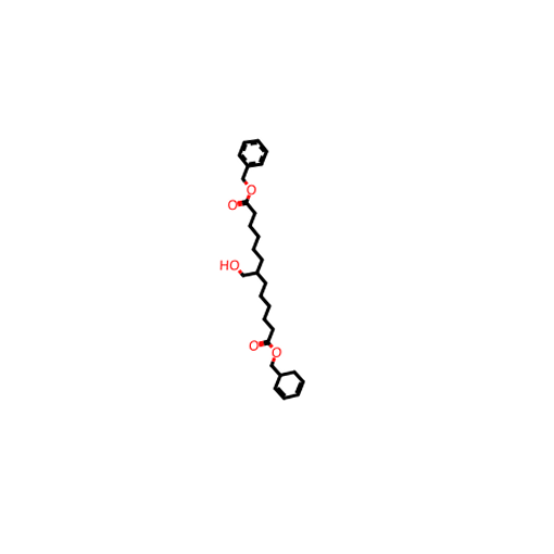 O=C(CCCCCC(CO)CCCCCC(=O)OCC1C=CC=CC1)OCc1ccccc1